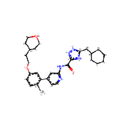 O=C(Nc1cc(-c2cc(OCCC3CCOCC3)ccc2C(F)(F)F)ccn1)c1nnc(CC2CCCCC2)[nH]1